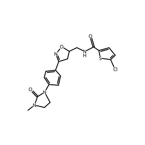 CN1CCN(c2ccc(C3=NOC(CNC(=O)c4ccc(Cl)s4)C3)cc2)C1=O